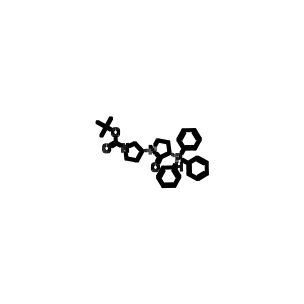 CC(C)(C)OC(=O)N1CC[C@@H](N2CC[C@H]([PH](c3ccccc3)(c3ccccc3)c3ccccc3)C2=O)C1